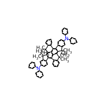 CC1(C)c2cc(N(c3ccccc3)c3ccccc3)ccc2-c2c1c1c3c(c4c(c5c3c2-c2ccccc2C5(C)C)C(C)(C)c2cc(N(c3ccccc3)c3ccccc3)ccc2-4)-c2ccccc2C1(C)C